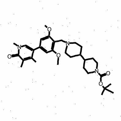 COc1cc(-c2cn(C)c(=O)c(C)c2C)cc(OC)c1CN1CCC(C2CCN(C(=O)OC(C)(C)C)CC2)CC1